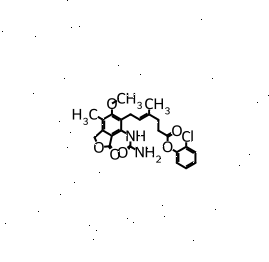 COc1c(C)c2c(c(NC(N)=O)c1C/C=C(\C)CCC(=O)Oc1ccccc1Cl)C(=O)OC2